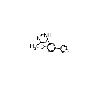 CC12CC(NC=N1)c1cc(-c3ccoc3)ccc1O2